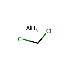 ClCCl.[AlH3]